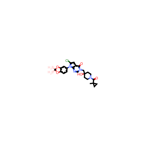 BC1(B)Oc2ccc(-n3c(Cl)cc4c(=O)n(CC5(O)CCN(C(=O)C6(C)CC6)CC5)cnc43)cc2O1